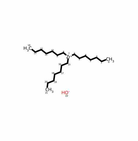 CCCCCC[CH2][Zr+]([CH2]CCCCCC)[CH2]CCCCCC.[OH-]